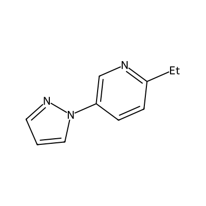 CCc1ccc(-n2cccn2)cn1